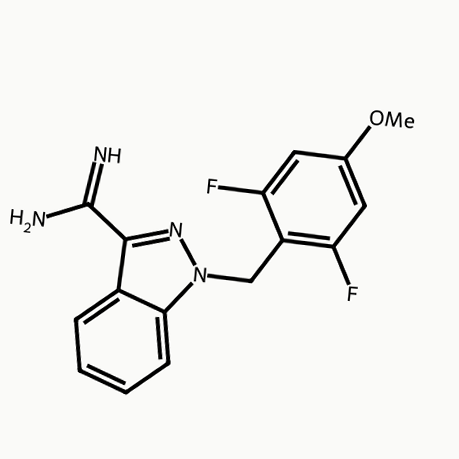 COc1cc(F)c(Cn2nc(C(=N)N)c3ccccc32)c(F)c1